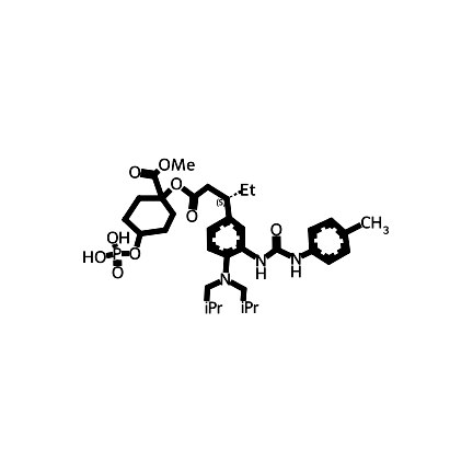 CC[C@@H](CC(=O)OC1(C(=O)OC)CCC(OP(=O)(O)O)CC1)c1ccc(N(CC(C)C)CC(C)C)c(NC(=O)Nc2ccc(C)cc2)c1